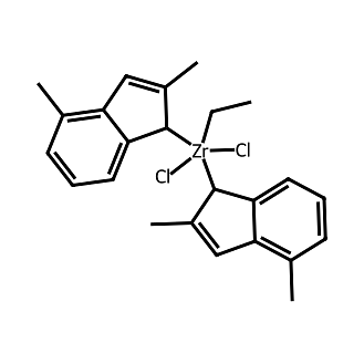 C[CH2][Zr]([Cl])([Cl])([CH]1C(C)=Cc2c(C)cccc21)[CH]1C(C)=Cc2c(C)cccc21